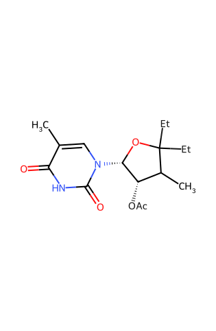 CCC1(CC)O[C@@H](n2cc(C)c(=O)[nH]c2=O)[C@@H](OC(C)=O)C1C